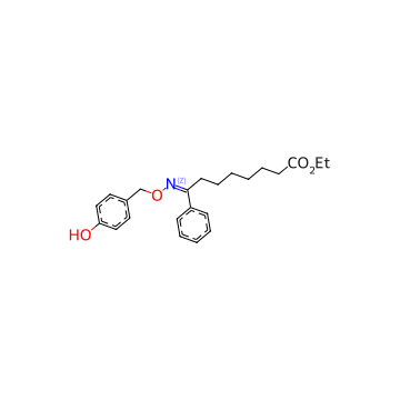 CCOC(=O)CCCCCC/C(=N/OCc1ccc(O)cc1)c1ccccc1